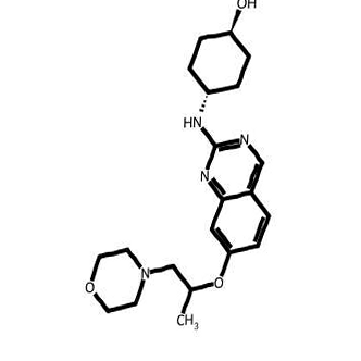 CC(CN1CCOCC1)Oc1ccc2cnc(N[C@H]3CC[C@H](O)CC3)nc2c1